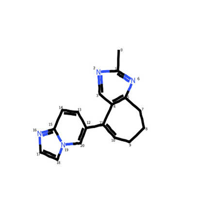 Cc1ncc2c(n1)CCCC=C2c1ccc2nccn2c1